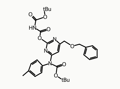 Cc1ccc(N(C(=O)OC(C)(C)C)c2cc(COCc3ccccc3)nc(OC(=O)NC(=O)OC(C)(C)C)n2)cc1